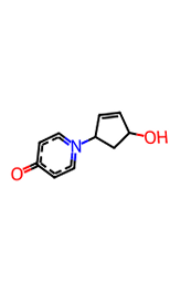 O=c1ccn(C2C=CC(O)C2)cc1